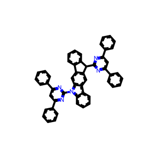 c1ccc(-c2cc(-c3ccccc3)nc(C3c4ccccc4-c4cc5c(cc43)c3ccccc3n5-c3nc(-c4ccccc4)cc(-c4ccccc4)n3)n2)cc1